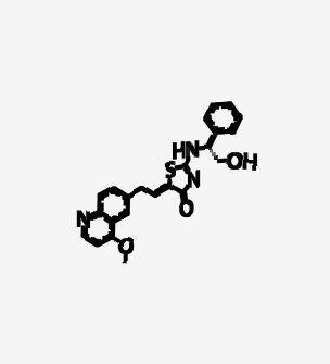 COc1ccnc2ccc(C/C=C3\SC(N[C@@H](CO)c4ccccc4)=NC3=O)cc12